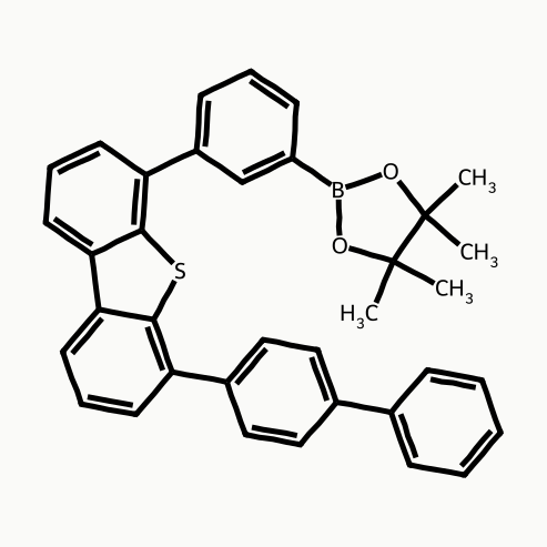 CC1(C)OB(c2cccc(-c3cccc4c3sc3c(-c5ccc(-c6ccccc6)cc5)cccc34)c2)OC1(C)C